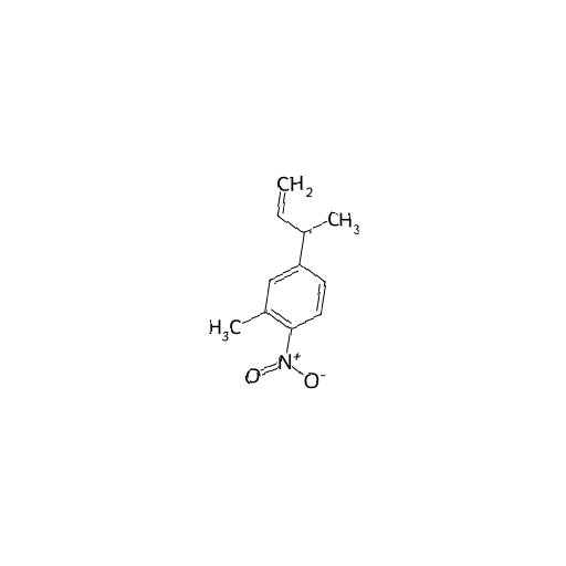 C=C[C](C)c1ccc([N+](=O)[O-])c(C)c1